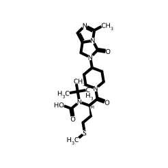 CSCC[C@H](C(=O)N1CCC(N2Cc3cnc(C)n3C2=O)CC1)N(C(=O)O)C(C)(C)C